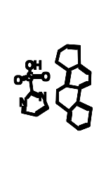 C1=Cc2ccc3c(c2CC1)CCc1ccccc1-3.O=S(=O)(O)c1ncccn1